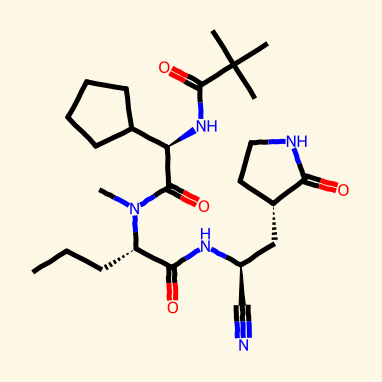 CCC[C@@H](C(=O)N[C@H](C#N)C[C@@H]1CCNC1=O)N(C)C(=O)[C@H](NC(=O)C(C)(C)C)C1CCCC1